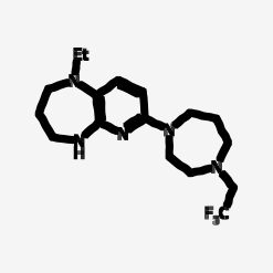 CCN1CCCNc2nc(N3CCCN(CC(F)(F)F)CC3)ccc21